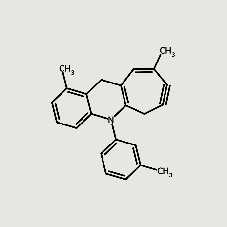 CC1=CC2=C(CC#C1)N(c1cccc(C)c1)c1cccc(C)c1C2